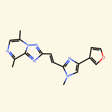 Cc1ncc(C)n2nc(C=Cc3nc(-c4ccoc4)cn3C)nc12